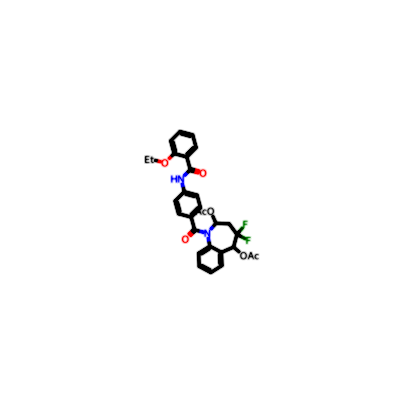 CCOc1ccccc1C(=O)Nc1ccc(C(=O)N2c3ccccc3C(OC(C)=O)C(F)(F)CC2OC(C)=O)cc1